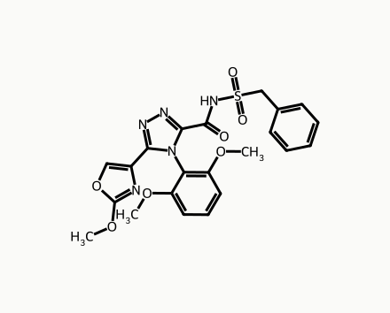 COc1nc(-c2nnc(C(=O)NS(=O)(=O)Cc3ccccc3)n2-c2c(OC)cccc2OC)co1